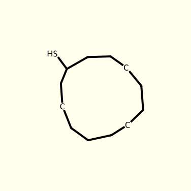 SC1CCCCCCCCCCC1